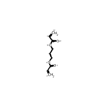 C=CC(=O)OCCCOC(=O)C=C